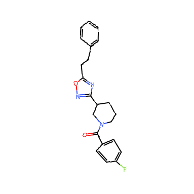 O=C(c1ccc(F)cc1)N1CCCC(c2noc(CCc3ccccc3)n2)C1